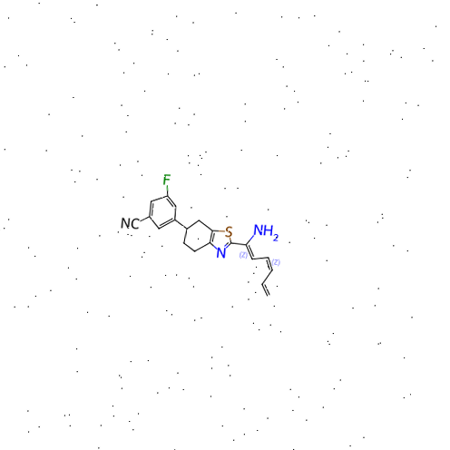 C=C/C=C\C=C(/N)c1nc2c(s1)CC(c1cc(F)cc(C#N)c1)CC2